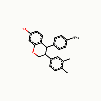 CNc1ccc(C2c3ccc(O)cc3OCC2c2ccc(C)c(C)c2)cc1